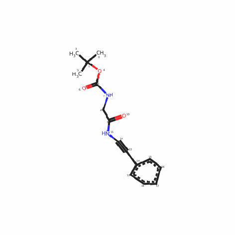 CC(C)(C)OC(=O)NCC(=O)NC#Cc1ccccc1